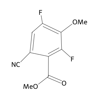 COC(=O)c1c(C#N)cc(F)c(OC)c1F